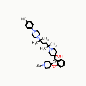 CC1(Oc2ccccc2CC2(O)CCN(C(C)(C)CCC(C)(C)N3CCN(c4ccc(C#N)cc4)CC3)CC2)CCN(C(C)(C)C)CC1